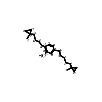 CC1(CCCCCc2ccc(CCCCC3(C)CC3)c(O)c2)CC1